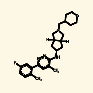 Cc1ccc(F)cc1-c1cc(C(F)(F)F)c(N[C@H]2C[C@@H]3CN(CC4CCOCC4)C[C@@H]3C2)nn1